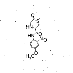 COc1ccc(NC(=O)C2CSC(=O)CN2)c(N=O)c1